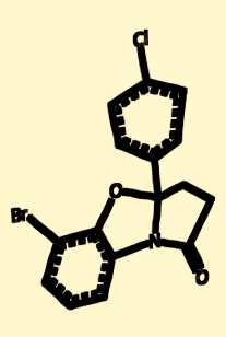 O=C1CCC2(c3ccc(Cl)cc3)Oc3c(Br)cccc3N12